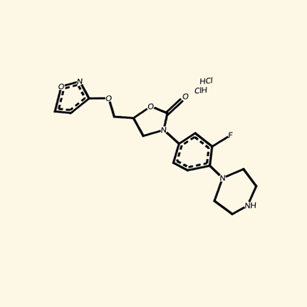 Cl.Cl.O=C1OC(COc2ccon2)CN1c1ccc(N2CCNCC2)c(F)c1